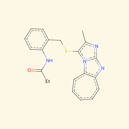 CCC(=O)Nc1ccccc1CSc1c(C)nc2nc3cccccc3n12